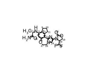 C[C@H](Nc1cc2c(c3c1CCC3)-c1nc(N3C(=O)OCC3C(F)F)cn1CCO2)C(N)=O